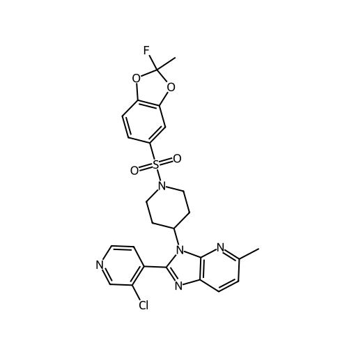 Cc1ccc2nc(-c3ccncc3Cl)n(C3CCN(S(=O)(=O)c4ccc5c(c4)OC(C)(F)O5)CC3)c2n1